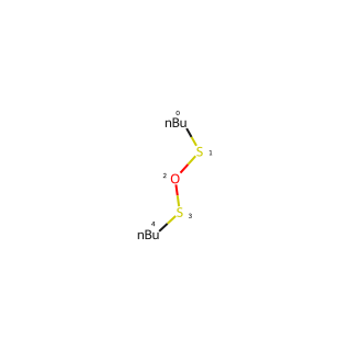 CCCCSOSCCCC